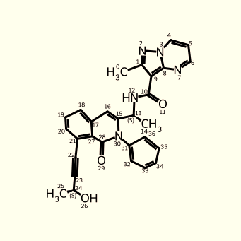 Cc1nn2cccnc2c1C(=O)N[C@@H](C)c1cc2cccc(C#C[C@H](C)O)c2c(=O)n1-c1ccccc1